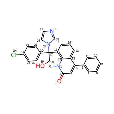 Cn1c(=O)cc(-c2ccccc2)c2cccc(C(CO)(c3ccc(Cl)cc3)n3ccnc3)c21